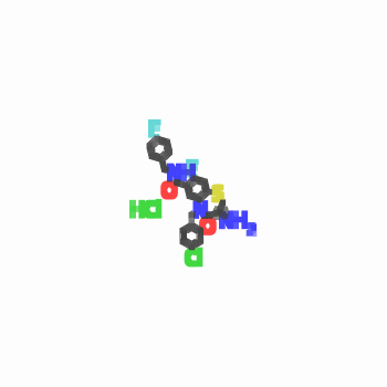 Cl.N[C@H]1CSc2cc(F)c(C(=O)NCc3ccc(F)cc3)cc2N(Cc2ccc(Cl)cc2)C1=O